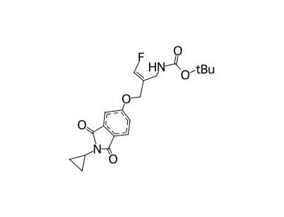 CC(C)(C)OC(=O)NCC(=CF)COc1ccc2c(c1)C(=O)N(C1CC1)C2=O